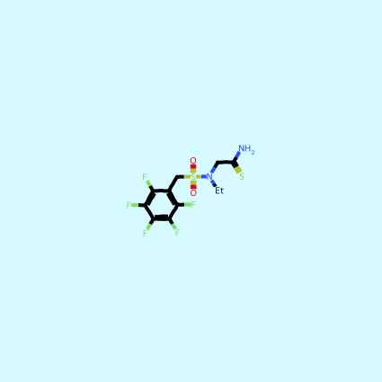 CCN(CC(N)=S)S(=O)(=O)Cc1c(F)c(F)c(F)c(F)c1F